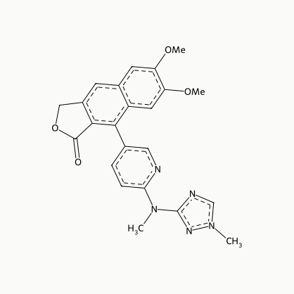 COc1cc2cc3c(c(-c4ccc(N(C)c5ncn(C)n5)nc4)c2cc1OC)C(=O)OC3